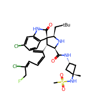 C=C(/C=C\C=C(\Cl)CF)[C@H]1[C@H](C(=O)N[C@H]2C[C@@](C)(NS(C)(=O)=O)C2)N[C@H](CC(C)(C)C)[C@]12C(=O)Nc1cc(Cl)ccc12